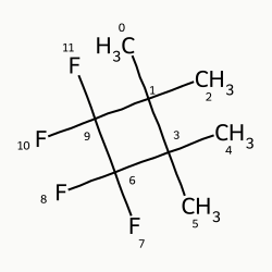 CC1(C)C(C)(C)C(F)(F)C1(F)F